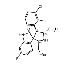 CC(C)(C)C[C@@H]1N[C@@H](C(=O)O)[C@H](c2cccc(Cl)c2F)C12C(=O)Nc1cc(F)ccc12